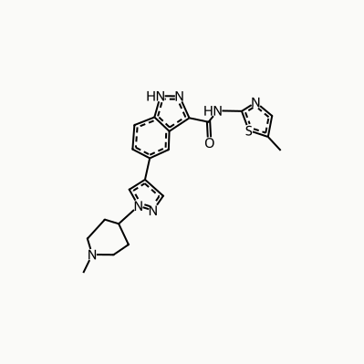 Cc1cnc(NC(=O)c2n[nH]c3ccc(-c4cnn(C5CCN(C)CC5)c4)cc23)s1